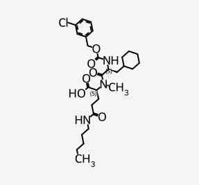 CCCCCNC(=O)CC[C@@H](C(=O)O)N(C)C(=O)[C@H](CC1CCCCC1)NC(=O)OCc1cccc(Cl)c1